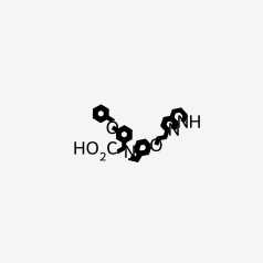 O=C(O)CC(c1cccc(OCc2ccccc2)c1)n1ccc2cc(OCCc3ccc4c(n3)NCCC4)ccc21